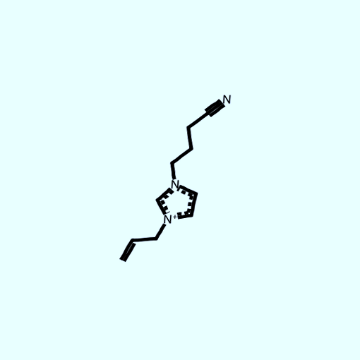 C=CC[n+]1ccn(CCCC#N)c1